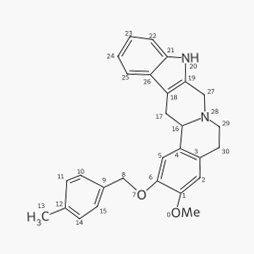 COc1cc2c(cc1OCc1ccc(C)cc1)C1Cc3c([nH]c4ccccc34)CN1CC2